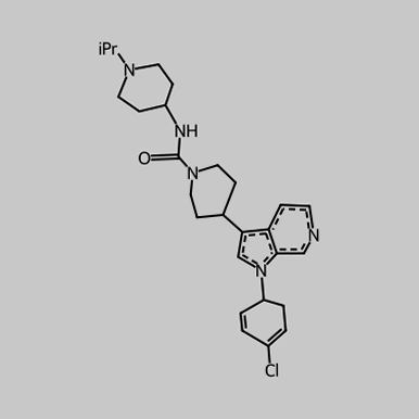 CC(C)N1CCC(NC(=O)N2CCC(c3cn(C4C=CC(Cl)=CC4)c4cnccc34)CC2)CC1